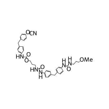 COCCCNC(=O)Nc1ccc(Cc2ccc(NC(=O)NCCCOC(=O)Nc3ccc(Cc4ccc(OC#N)cc4)cc3)cc2)cc1